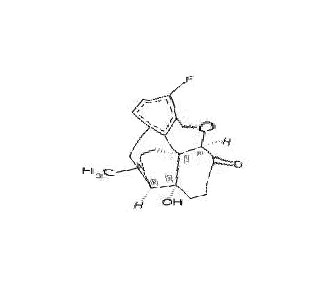 CN1CC[C@]23c4c5ccc(F)c4O[C@H]2C(=O)CC[C@@]3(O)[C@H]1C5